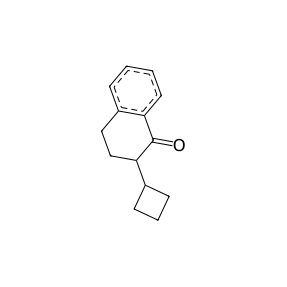 O=C1c2ccccc2CCC1C1CCC1